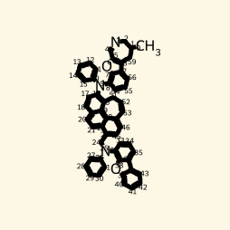 CC1CN=Cc2oc3c(N(c4ccccc4)c4ccc5ccc6c(CN(c7ccccc7)c7cccc8c7oc7ccccc78)ccc7c6c5c4CC=C7)cccc3c2C1